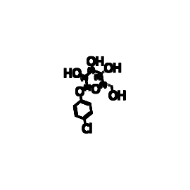 OC[C@@H]1O[C@H](Oc2ccc(Cl)cc2)[C@H](O)[C@@H](O)[C@@H]1O